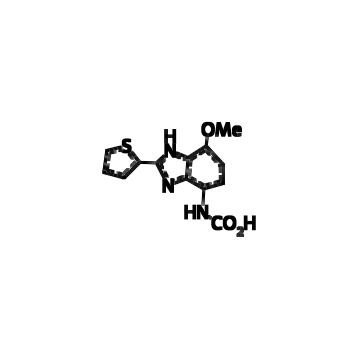 COc1ccc(NC(=O)O)c2nc(-c3cccs3)[nH]c12